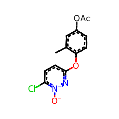 CC(=O)Oc1ccc(Oc2ccc(Cl)[n+]([O-])n2)c(C)c1